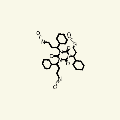 O=C=NCCC(C1CCCCC1)n1c(=O)n(C(CCN=C=O)C2CCCCC2)c(=O)n(C(CCN=C=O)C2CCCCC2)c1=O